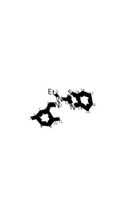 CCN(/N=C/c1cc(C)ccc1C)c1nc2ccccc2s1